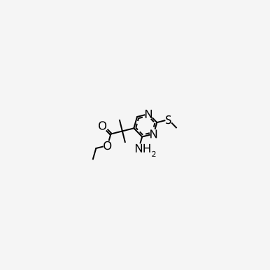 CCOC(=O)C(C)(C)c1cnc(SC)nc1N